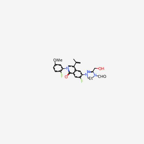 C=C(C)c1cn(-c2cc(OC)ccc2F)c(=O)c2cc(F)c(N(C)/N=C(/CO)N(C=O)CC)cc12